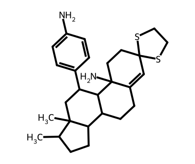 CC1CCC2C3CCC4=CC5(CCC4(N)C3C(c3ccc(N)cc3)CC12C)SCCS5